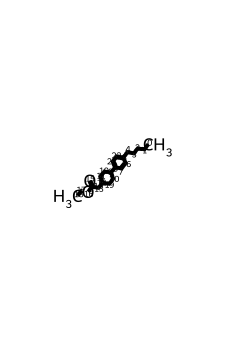 CCCCCc1ccc(C2CCC(CC(=O)OCC)CC2)cc1